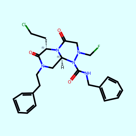 O=C1[C@H](CCCl)N2C(=O)CN(CF)N(C(=O)NCc3ccccc3)[C@H]2CN1CCc1ccccc1